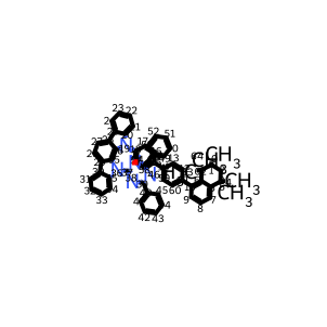 CC1CC(C)(C)c2cccc(-c3ccc(-c4ccc(-n5c6ccccc6c6ccc7c8ccccc8n(-c8nc(-c9ccccc9)nc(-c9ccccc9)n8)c7c65)cc4)cc3)c2C1(C)C